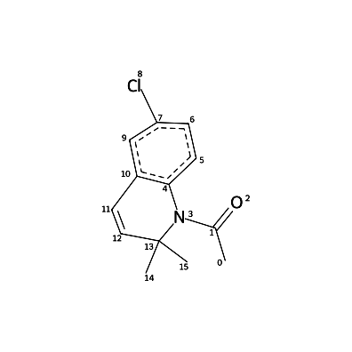 CC(=O)N1c2ccc(Cl)cc2C=CC1(C)C